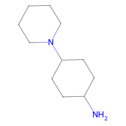 NC1CCC(N2CCCCC2)CC1